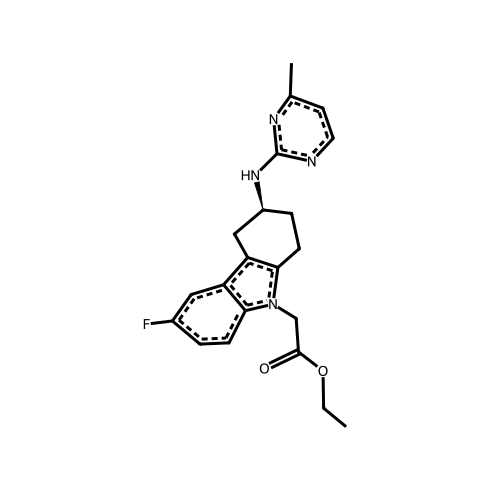 CCOC(=O)Cn1c2c(c3cc(F)ccc31)C[C@@H](Nc1nccc(C)n1)CC2